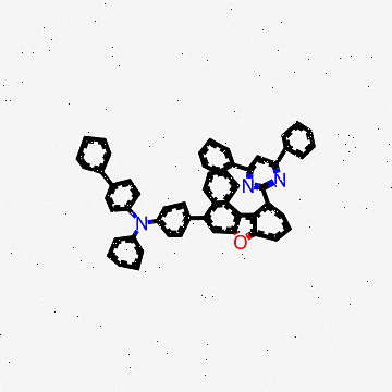 c1ccc(-c2ccc(N(c3ccccc3)c3ccc(-c4cc5oc6cccc(-c7nc(-c8ccccc8)cc(-c8ccccc8)n7)c6c5c5ccccc45)cc3)cc2)cc1